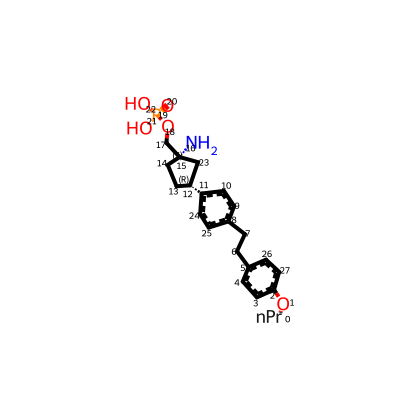 CCCOc1ccc(CCc2ccc([C@@H]3CC[C@@](N)(COP(=O)(O)O)C3)cc2)cc1